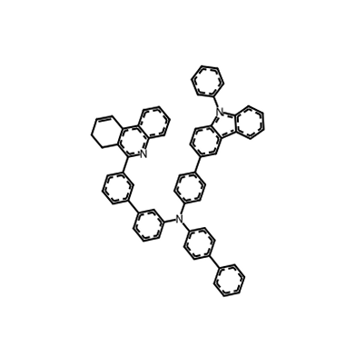 C1=Cc2c(c(-c3cccc(-c4cccc(N(c5ccc(-c6ccccc6)cc5)c5ccc(-c6ccc7c(c6)c6ccccc6n7-c6ccccc6)cc5)c4)c3)nc3ccccc23)CC1